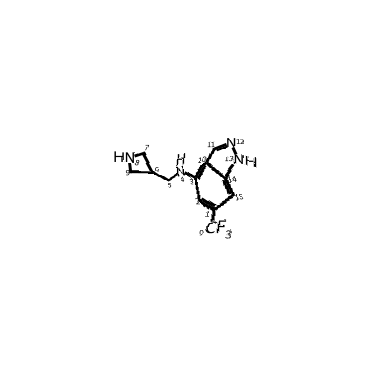 FC(F)(F)c1cc(NCC2CNC2)c2cn[nH]c2c1